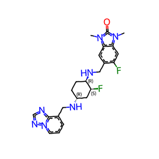 Cn1c(=O)n(C)c2cc(CN[C@@H]3CC[C@@H](NCc4cccn5ncnc45)C[C@@H]3F)c(F)cc21